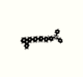 c1ccc(-c2nc(-c3ccccc3)nc(-c3ccc4c(c3)sc3cc(-c5ccc(-c6ccc(-c7ccc8c9ccccc9c9ccccc9c8c7)cc6)cc5)ccc34)n2)cc1